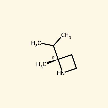 CC(C)[C@]1(C)CCN1